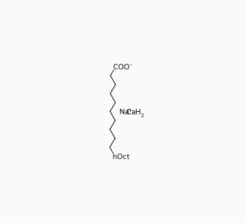 CCCCCCCCCCCCCCCCCC(=O)[O-].[CaH2].[Na+]